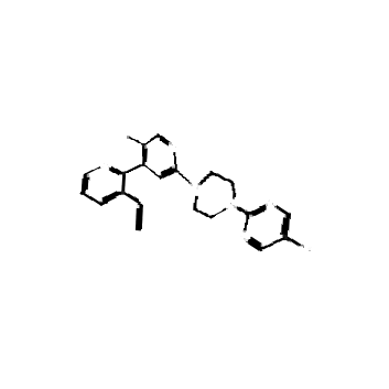 C=Cc1cccnc1-c1cc(N2CCN(c3ncc(Br)cn3)CC2)ncc1Cl